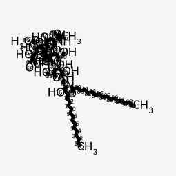 CCCCCCCCCCCCC/C=C/[C@H](O)[C@@H](CO[C@H]1O[C@@H](CO)[C@H](O[C@H]2O[C@@H](CO)[C@@H](O[C@H]3O[C@@H](CO)[C@@H](O)[C@@H](O)[C@@H]3NC(C)=O)[C@@H](O[C@@]3(C(=O)O)C[C@@H](O)[C@H](NC(C)=O)[C@@H]([C@@H](O)[C@@H](O)CO)O3)[C@@H]2O)[C@@H](O)[C@@H]1O)NC(=O)CCCCCCCCCCCCCCCCC